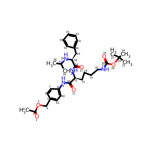 CC(=O)OCc1ccc(NC(=O)[C@H](CCCCNC(=O)OC(C)(C)C)NC(=O)[C@H](Cc2ccccc2)NC(C)C)cc1